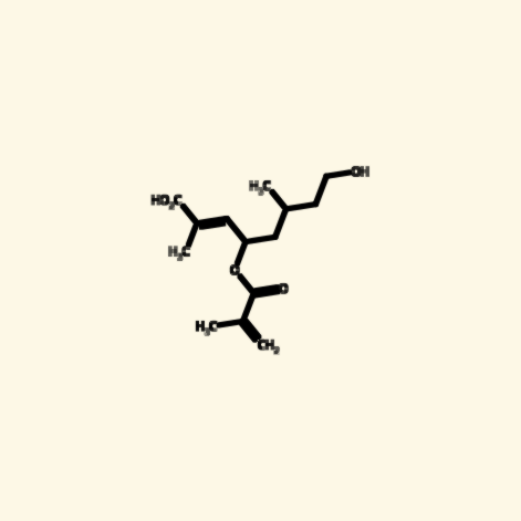 C=C(C)C(=O)OC(C=C(C)C(=O)O)CC(C)CCO